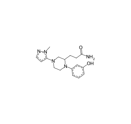 Cn1nccc1N1CCN(c2cccc(O)c2)C(CCC(N)=O)C1